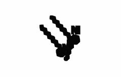 CCCCCCC=CCCCc1ccccc1N=CC(CCCC)=Nc1ccccc1CCCC=CCCCCCC.[Ni]